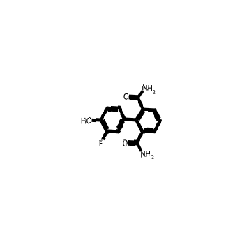 NC(=O)c1cccc(C(N)=O)c1-c1ccc(O)c(F)c1